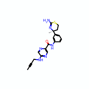 CC#CCNc1cnc(C(=O)Nc2cccc([C@]3(C)CCSC(N)=N3)c2)cn1